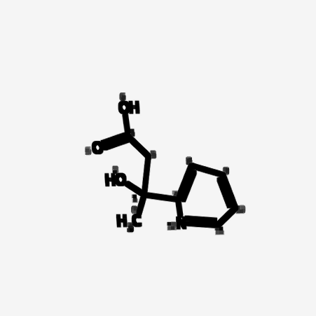 CC(O)(CC(=O)O)c1ccccn1